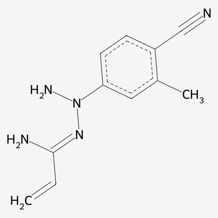 C=C/C(N)=N/N(N)c1ccc(C#N)c(C)c1